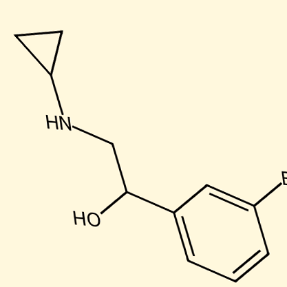 OC(CNC1CC1)c1cccc(Br)c1